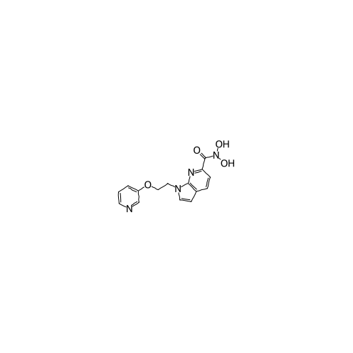 O=C(c1ccc2ccn(CCOc3cccnc3)c2n1)N(O)O